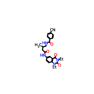 CCn1c(=O)c2cc(NC(=O)CC(C)CNC(=O)c3ccc(C#N)cc3)ccc2n(CC)c1=O